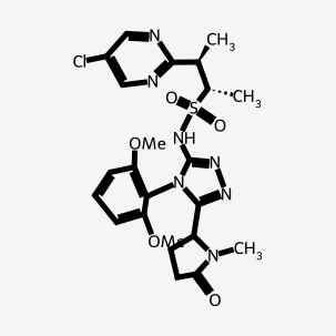 COc1cccc(OC)c1-n1c(NS(=O)(=O)[C@@H](C)[C@H](C)c2ncc(Cl)cn2)nnc1C1CCC(=O)N1C